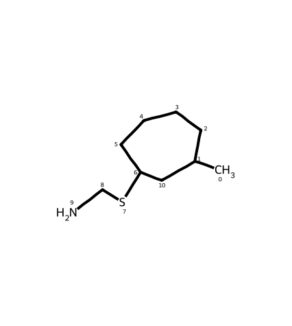 CC1CCCCC(SCN)C1